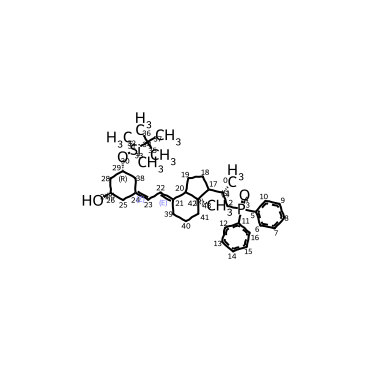 C[C@H](CP(=O)(c1ccccc1)c1ccccc1)C1CCC2/C(=C/C=C3/C[C@@H](O)C[C@H](O[Si](C)(C)C(C)(C)C)C3)CCC[C@@]21C